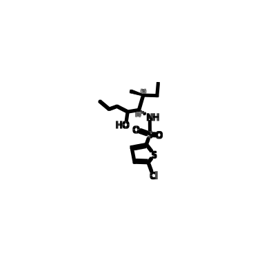 CCCC(O)[C@@H](NS(=O)(=O)c1ccc(Cl)s1)[C@@H](C)CC